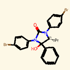 CCC[C@H]1N(c2ccc(Br)cc2)C(=O)N(c2ccc(Br)cc2)C1(O)c1ccccc1